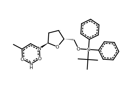 Cc1cn([C@H]2C[CH][C@H](CO[Si](c3ccccc3)(c3ccccc3)C(C)(C)C)O2)o[nH]o1